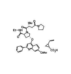 C=CC1CC1C(=O)O.CCNC(=O)[C@@H]1C[C@@H](Oc2cc(-c3ccccc3)nc3cc(OC)ccc23)CN1C(=O)[C@@H](CC(=O)N1CCCC1)C(C)(C)C